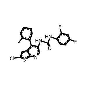 Cc1ccccc1-c1c(NC(=O)Nc2ccc(F)cc2F)cnc2sc(Cl)cc12